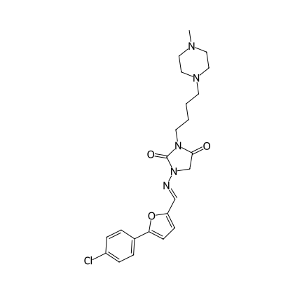 CN1CCN(CCCCN2C(=O)CN(/N=C/c3ccc(-c4ccc(Cl)cc4)o3)C2=O)CC1